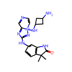 CC1(C)C(=O)Nc2cc(NC3=N[N+]4(NC5CC(N)C5)C=CN=CC4=N3)ccc21